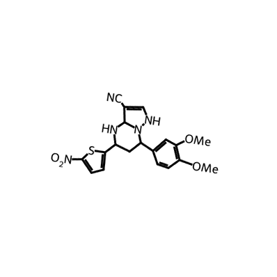 COc1ccc(C2CC(c3ccc([N+](=O)[O-])s3)NC3C(C#N)=CNN32)cc1OC